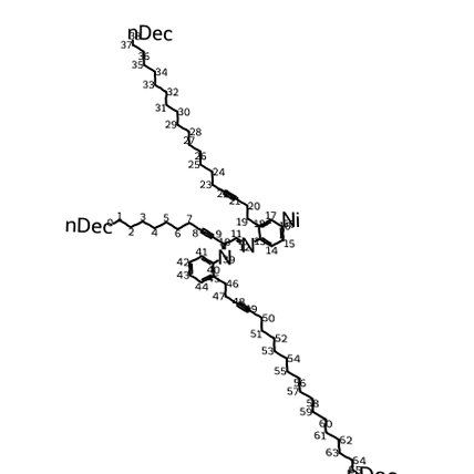 CCCCCCCCCCCCCCCCCC#CC(C=Nc1ccccc1CCC#CCCCCCCCCCCCCCCCCCCCCCCCCC)=Nc1ccccc1CCC#CCCCCCCCCCCCCCCCCCCCCCCCCC.[Ni]